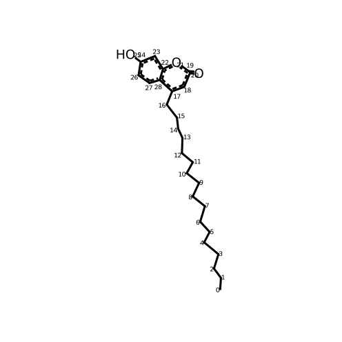 CCCCCCCCCCCCCCCCCc1cc(=O)oc2cc(O)ccc12